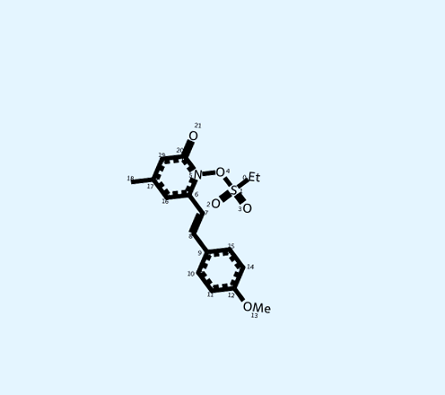 CCS(=O)(=O)On1c(C=Cc2ccc(OC)cc2)cc(C)cc1=O